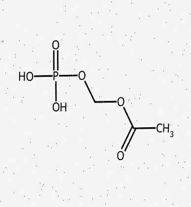 CC(=O)OCOP(=O)(O)O